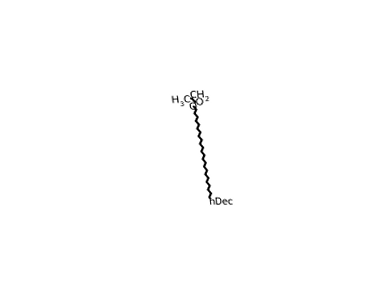 C=C(C)C(=O)OCCCCCCCCCCCCCCCCCCCCCCCCCCCCCCCCCC